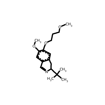 COCCCOc1cc2c(cc1OC)C=NC(C(C)(C)C)C2